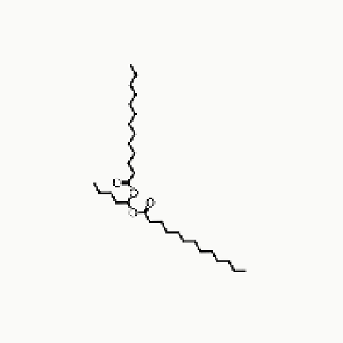 CCCCCCCCCCCCC(=O)OC(CCCC)OC(=O)CCCCCCCCCCCC